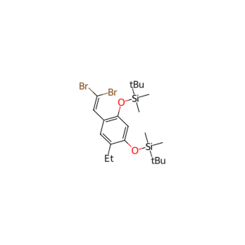 CCc1cc(C=C(Br)Br)c(O[Si](C)(C)C(C)(C)C)cc1O[Si](C)(C)C(C)(C)C